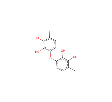 Cc1ccc(Oc2ccc(C)c(O)c2O)c(O)c1O